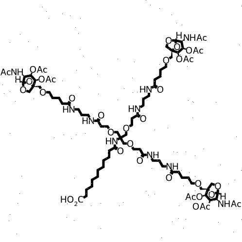 CC(=O)N[C@H]1[C@H]2OC[C@](COCCCCC(=O)NCCCNC(=O)CCOCC(COCCC(=O)NCCCNC(=O)CCCCOC[C@@]34CO[C@@H](O3)[C@H](NC(C)=O)[C@@H](OC(C)=O)[C@H]4OC(C)=O)(COCCC(=O)NCCCNC(=O)CCCCOC[C@@]34CO[C@@H](O3)[C@H](NC(C)=O)[C@@H](OC(C)=O)[C@H]4OC(C)=O)NC(=O)CCCCCCCCCCC(=O)O)(O2)[C@H](OC(C)=O)[C@@H]1OC(C)=O